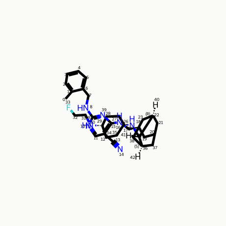 Cc1ccccc1CNc1ncc(C#N)c(NC[C@]23CC4C[C@H](C2)[C@@H](N[C@H]2CC[C@@H](NCCF)CC2)[C@@H](C4)C3)n1